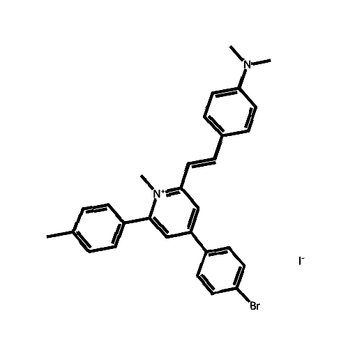 Cc1ccc(-c2cc(-c3ccc(Br)cc3)cc(/C=C/c3ccc(N(C)C)cc3)[n+]2C)cc1.[I-]